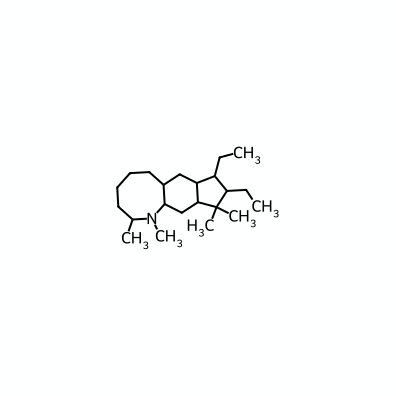 CCC1C2CC3CCCCC(C)N(C)C3CC2C(C)(C)C1CC